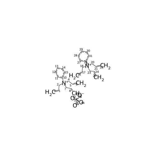 C=CC[N+](CC=C)(CC=C)c1ccccc1.C=CC[N+](CC=C)(CC=C)c1ccccc1.O=S(=O)([O-])[O-]